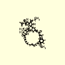 C=C[C@H]1C[C@@]1(NC(=O)C1C[C@@H]2CN1C(=O)[C@H](C(C)(C)C)NC(=O)OCCCC/C=C/COc1c(OC)ccc3c1CN(C3)C(=O)O2)C(=O)NS(=O)(=O)C1CC1